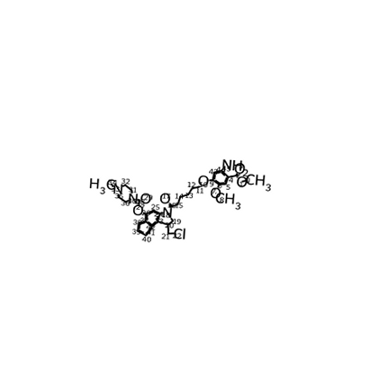 COC(=O)c1cc(OC)c(OCCCCCC(=O)N2CC(CCl)c3c2cc(OC(=O)N2CCN(C)CC2)c2ccccc32)cc1N